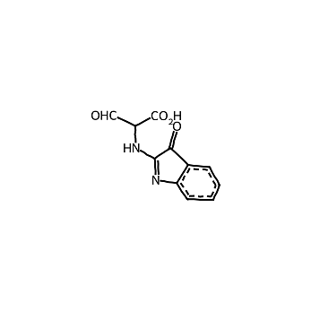 O=CC(NC1=Nc2ccccc2C1=O)C(=O)O